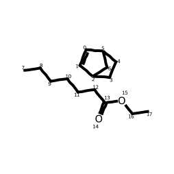 C1=CC2CCC1C2.CCCCCCC(=O)OCC